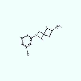 NC1CC2(C1)CN(c1cncc(Br)c1)C2